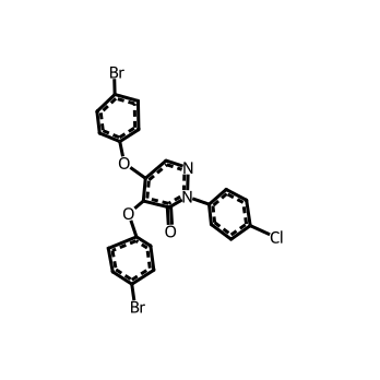 O=c1c(Oc2ccc(Br)cc2)c(Oc2ccc(Br)cc2)cnn1-c1ccc(Cl)cc1